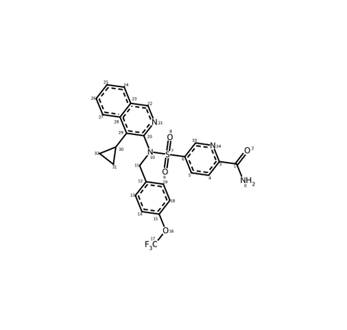 NC(=O)c1ccc(S(=O)(=O)N(Cc2ccc(OC(F)(F)F)cc2)c2ncc3ccccc3c2C2CC2)cn1